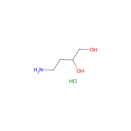 Cl.NCCC(O)CO